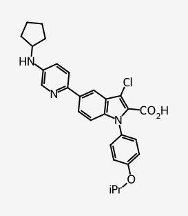 CC(C)Oc1ccc(-n2c(C(=O)O)c(Cl)c3cc(-c4ccc(NC5CCCC5)cn4)ccc32)cc1